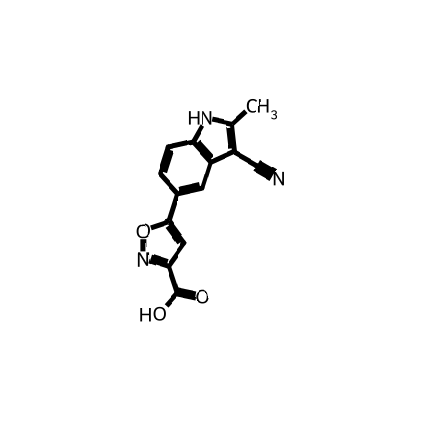 Cc1[nH]c2ccc(-c3cc(C(=O)O)no3)cc2c1C#N